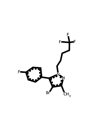 Cc1nn(CCCCC(F)(F)F)c(-c2ccc(F)cc2)c1Br